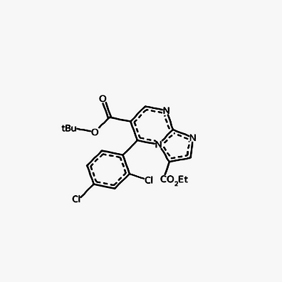 CCOC(=O)c1cnc2ncc(C(=O)OC(C)(C)C)c(-c3ccc(Cl)cc3Cl)n12